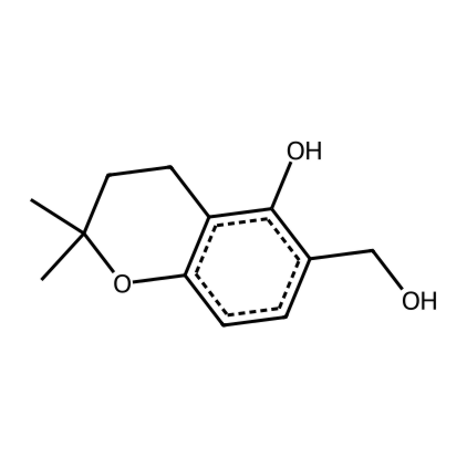 CC1(C)CCc2c(ccc(CO)c2O)O1